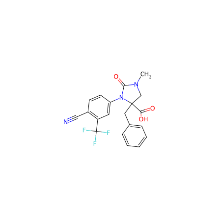 CN1CC(Cc2ccccc2)(C(=O)O)N(c2ccc(C#N)c(C(F)(F)F)c2)C1=O